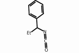 [CH2]CC(N=C=O)c1ccccc1